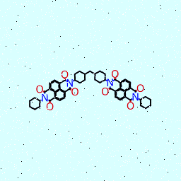 O=C1c2ccc3c4c(ccc(c24)C(=O)N1C1CCCCC1)C(=O)N(C1CCC(CC2CCC(N4C(=O)c5ccc6c7c(ccc(c57)C4=O)C(=O)N(C4CCCCC4)C6=O)CC2)CC1)C3=O